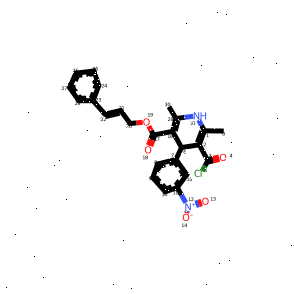 CC1=C(C(=O)Cl)C(c2cccc([N+](=O)[O-])c2)C(C(=O)OCC=Cc2ccccc2)=C(C)N1